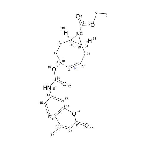 CCOC(=O)[C@H]1[C@@H]2CC[C@@H](OC(=O)Nc3ccc4c(C)cc(=O)oc4c3)/C=C\C[C@@H]21